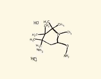 CN1C(ON)CC(C)(C)C(C)(C)C1(C)C.Cl.Cl.N